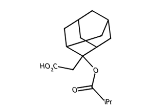 CC(C)C(=O)OC1(CC(=O)O)C2CC3CC(C2)CC1C3